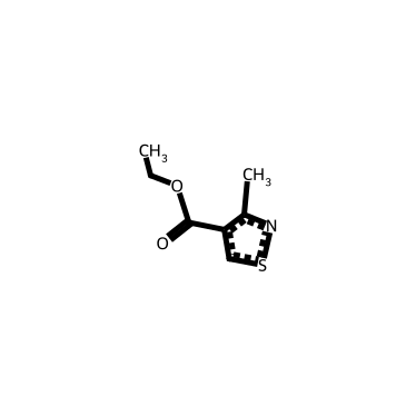 CCOC(=O)c1csnc1C